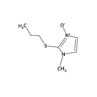 CCCSc1n(C)cc[n+]1[O-]